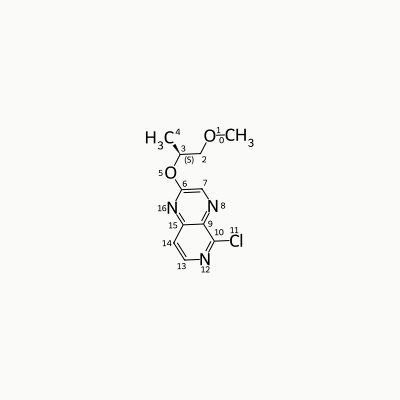 COC[C@H](C)Oc1cnc2c(Cl)nccc2n1